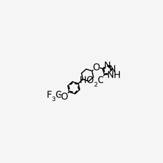 O=C(O)c1[nH]nnc1OC1CCC(c2ccc(OC(F)(F)F)cc2)CC1